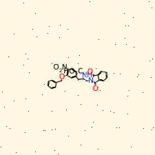 O=C(O)NC(Cc1ccc([N+](=O)[O-])c(OCc2ccccc2)c1)CN1C(=O)c2ccccc2C1=O